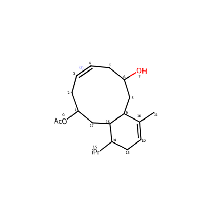 CC(=O)OC1C/C=C\CC(O)CC2C(C)=CCC(C(C)C)C2C1